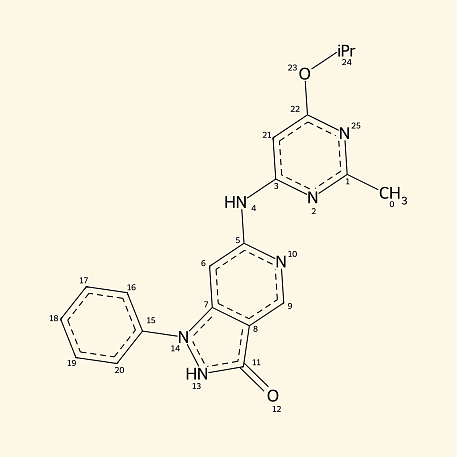 Cc1nc(Nc2cc3c(cn2)c(=O)[nH]n3-c2ccccc2)cc(OC(C)C)n1